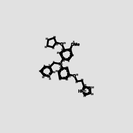 COc1ccc(N(Cc2cccnc2)c2cccc(OCCc3ncc[nH]3)c2)cc1OC1CCCC1